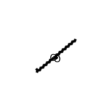 CCCCCCCCCCCCCC(=O)OCCCCCCCCCC(C)C